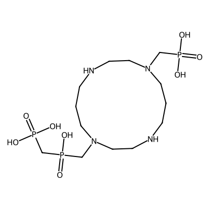 O=P(O)(O)CN1CCCNCCN(CP(=O)(O)CP(=O)(O)O)CCCNCC1